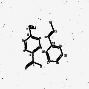 C=C(C)c1ccc(C(C)(C)C)cc1.CC=Cc1ccccc1